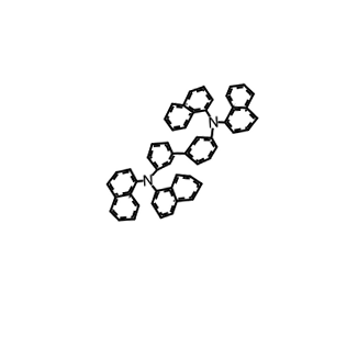 c1cc(-c2cccc(N(c3cccc4ccccc34)c3cccc4ccccc34)c2)cc(N(c2cccc3ccccc23)c2cccc3ccccc23)c1